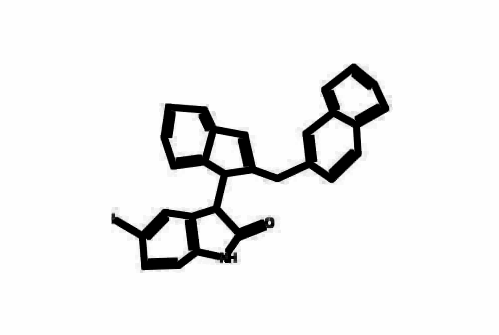 O=C1Nc2ccc(I)cc2C1C1C(Cc2ccc3ccccc3c2)=Cc2ccccc21